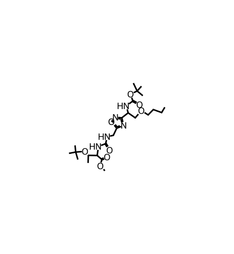 CCCCOCC(NC(=O)OC(C)(C)C)c1noc(CNC(=O)NC(C(=O)OC)C(C)OC(C)(C)C)n1